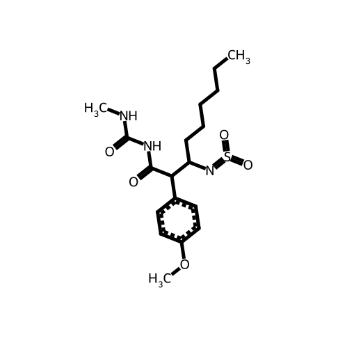 CCCCCCC(N=S(=O)=O)C(C(=O)NC(=O)NC)c1ccc(OC)cc1